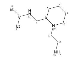 CCC(CC)NCC1CCCCN1CCN